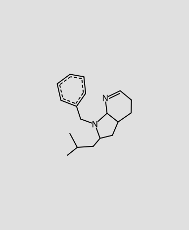 CC(C)CC1CC2CCC=NC2N1Cc1ccccc1